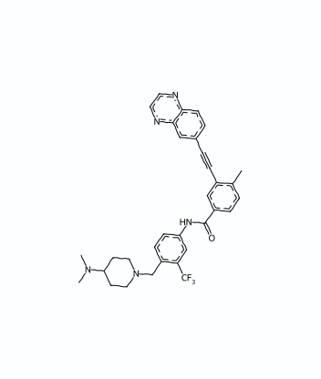 Cc1ccc(C(=O)Nc2ccc(CN3CCC(N(C)C)CC3)c(C(F)(F)F)c2)cc1C#Cc1ccc2nccnc2c1